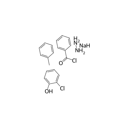 Cc1ccccc1.NN.O=C(Cl)c1ccccc1.Oc1ccccc1Cl.[NaH]